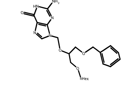 CCCCCCOCC(COCc1ccccc1)OCn1cnc2c(=O)[nH]c(N)nc21